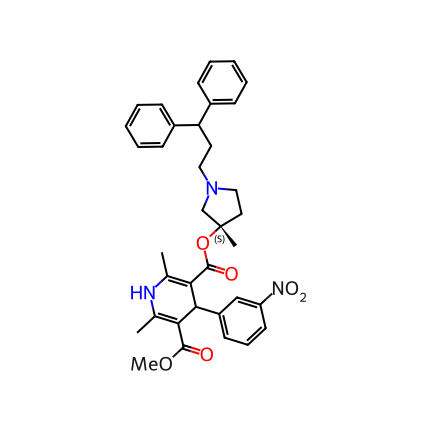 COC(=O)C1=C(C)NC(C)=C(C(=O)O[C@@]2(C)CCN(CCC(c3ccccc3)c3ccccc3)C2)C1c1cccc([N+](=O)[O-])c1